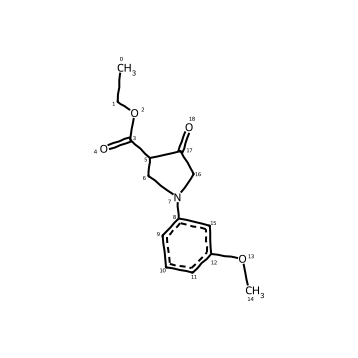 CCOC(=O)C1CN(c2cccc(OC)c2)CC1=O